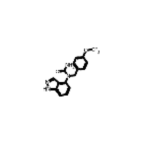 NC(=O)N(Cc1ccc(OC(F)(F)F)cc1)c1cccc2[nH]ncc12